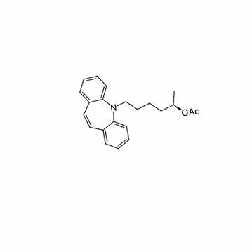 CC(=O)O[C@H](C)CCCCN1c2ccccc2C=Cc2ccccc21